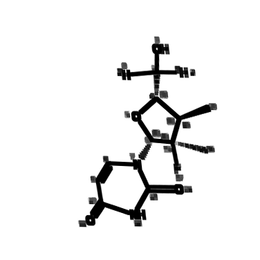 [2H]C([2H])(O)[C@H]1O[C@@H](n2ccc(=O)[nH]c2=O)[C@](C)(F)[C@@H]1C